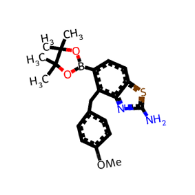 COc1ccc(Cc2c(B3OC(C)(C)C(C)(C)O3)ccc3sc(N)nc23)cc1